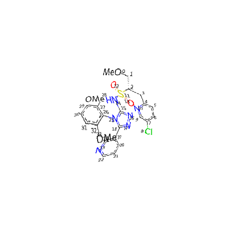 COC[C@H](Cc1ccc(Cl)cn1)S(=O)(=O)Nc1nnc(-c2cccnc2)n1-c1c(OC)cccc1OC